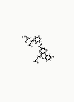 Cc1ccc(F)c(-c2ncc(COc3cccc([C@@H](CC(=O)O)C4CC4)c3)nc2OCC2CC2)c1